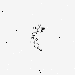 CC(=O)N1CCC(NC(=O)N[C@@H]2CCN(c3cn[nH]c(=O)c3Cl)C2)CC1